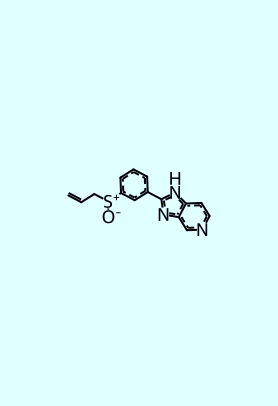 C=CC[S+]([O-])c1cccc(-c2nc3cnccc3[nH]2)c1